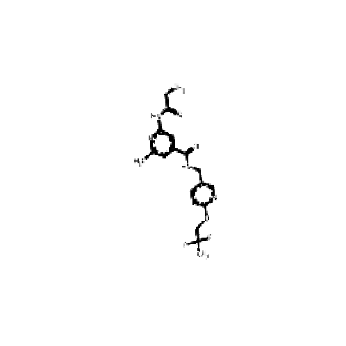 CCC(=O)Nc1cc(C(=O)NCc2ccc(OCC(C)(F)F)nc2)cc(C)n1